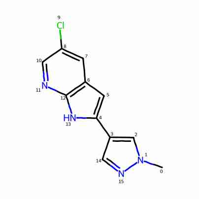 Cn1cc(-c2cc3cc(Cl)cnc3[nH]2)cn1